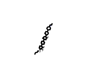 C/C=C/C1CCC(C2CC=C(c3ccc(-c4ccc(-c5ccc(OCCCC)c(F)c5F)cc4)cc3F)CC2)CC1